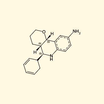 Nc1ccc2c(c1)[C@H]1OCCC[C@H]1[C@H](C1C=CC=CC1)N2